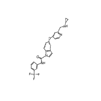 O=C(Nc1cccc(C(F)(F)F)c1)n1ccc2cc(Oc3ccnc(CNC4CC4)c3)ccc21